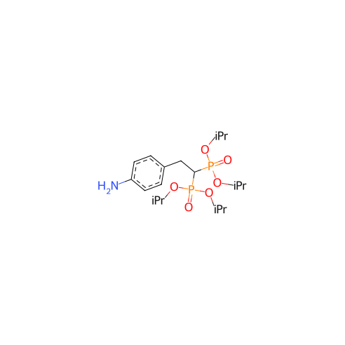 CC(C)OP(=O)(OC(C)C)C(Cc1ccc(N)cc1)P(=O)(OC(C)C)OC(C)C